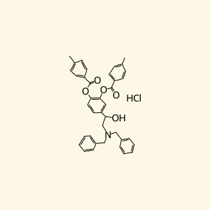 Cc1ccc(C(=O)Oc2ccc(C(O)CN(Cc3ccccc3)Cc3ccccc3)cc2OC(=O)c2ccc(C)cc2)cc1.Cl